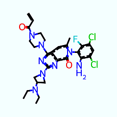 C=CC(=O)N1CCN(c2nc(N3CC(N(CC)CC)C3)nc3c(=O)n(-c4c(N)c(Cl)cc(Cl)c4F)c(C)cc23)CC1